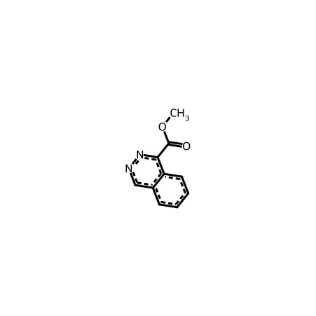 COC(=O)c1nncc2ccccc12